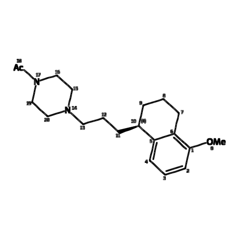 COc1cccc2c1CCC[C@@H]2CCCN1CCN(C(C)=O)CC1